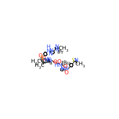 Cc1ncsc1-c1ccc(CNC(=O)[C@@H]2CCCN2C(=O)C(NC(=O)COCCn2cc(CC(C)(C)CC(C)(C)CS(=O)(=O)c3ccc(Nc4nccc(-c5cnc(C)n5C(C)C)n4)cc3)nn2)C(C)(C)C)cc1